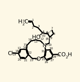 C=CCC[C@H](O)[C@@H]1CC[C@H]1CN1CCCCc2cc(Cl)ccc2COc2ccc(C(=O)O)cc21